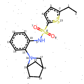 CCc1ccc(S(=O)(=O)Nc2ccccc2N2CC3CCC2C3)s1